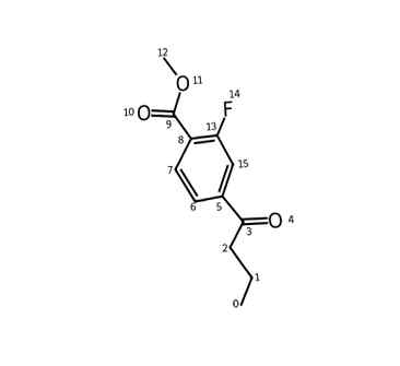 CCCC(=O)c1ccc(C(=O)OC)c(F)c1